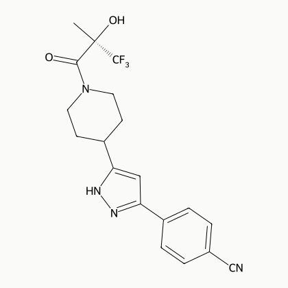 C[C@@](O)(C(=O)N1CCC(c2cc(-c3ccc(C#N)cc3)n[nH]2)CC1)C(F)(F)F